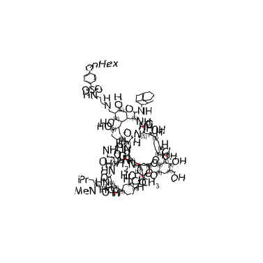 CCCCCCOc1ccc(S(=O)(=O)NCCNCC2[C@H](O)C3C4C[C@H](CC[C@H]4O)[C@H]4NC(=O)[C@@H]5NC(=O)[C@H](CC(N)=O)NC(=O)[C@H](NC(=O)[C@@H](CC(C)C)NC)[C@H](O)[C@H]6CC[C@@H](Oc7cc5cc(c7O[C@@H]5C[C@H](CO)[C@@H](O)[C@H](O)[C@H]5O[C@H]5C[C@H](N)[C@H](O)[C@H](C)O5)O[C@@H]5CC[C@@H](C[C@@H]5Cl)[C@@H](O)[C@H](NC4=O)C(=O)N[C@H](C(=O)NC4C5CC7CC(C5)CC4C7)C3C[C@@H]2O)[C@H](Cl)C6)cc1